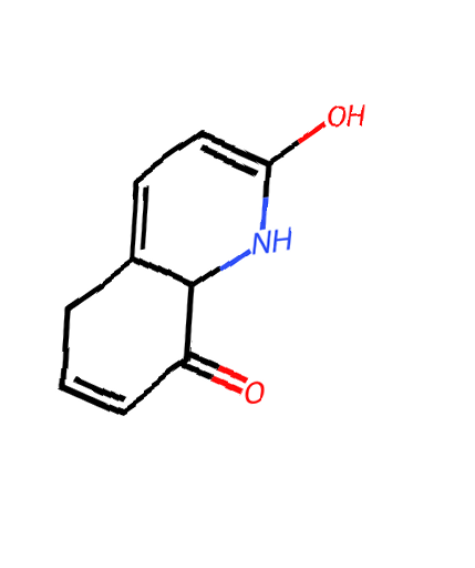 O=C1C=CCC2=CC=C(O)NC12